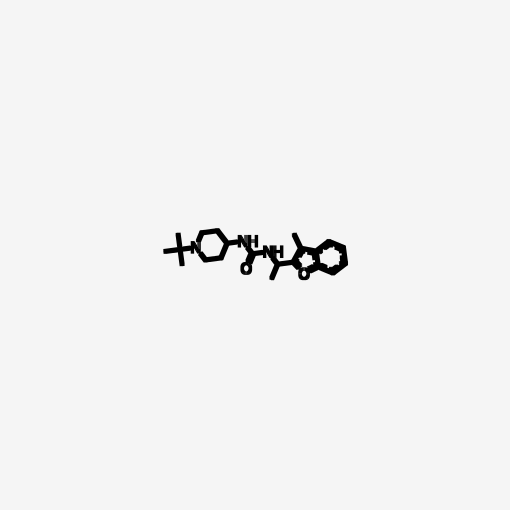 Cc1c(C(C)NC(=O)NC2CCN(C(C)(C)C)CC2)oc2ccccc12